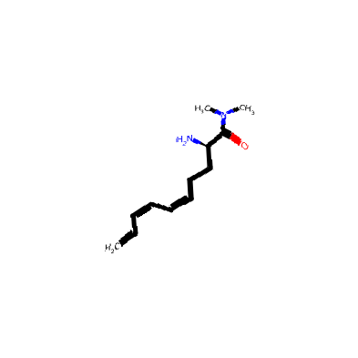 C=C/C=C\C=C/CC[C@@H](N)C(=O)N(C)C